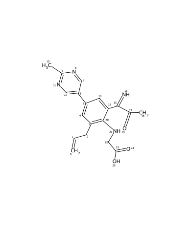 C=CCc1cc(-c2cnc(C)nc2)cc(C(=N)C(C)=O)c1NCC(=O)O